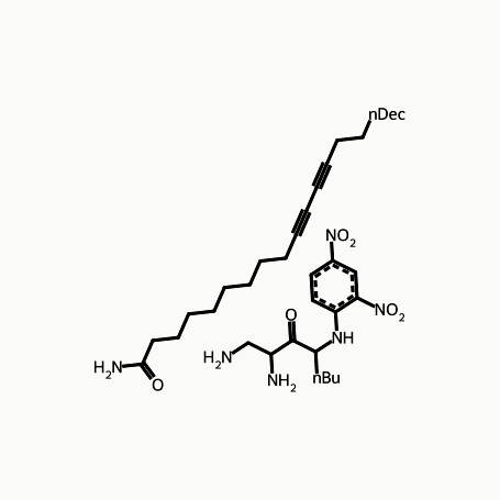 CCCCC(Nc1ccc([N+](=O)[O-])cc1[N+](=O)[O-])C(=O)C(N)CN.CCCCCCCCCCCCC#CC#CCCCCCCCCC(N)=O